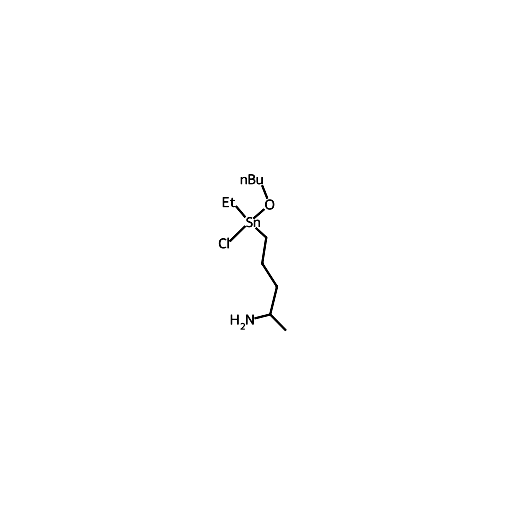 CCCC[O][Sn]([Cl])([CH2]C)[CH2]CCC(C)N